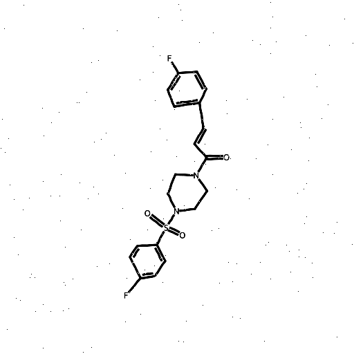 O=C(/C=C/c1ccc(F)cc1)N1CCN(S(=O)(=O)c2ccc(F)cc2)CC1